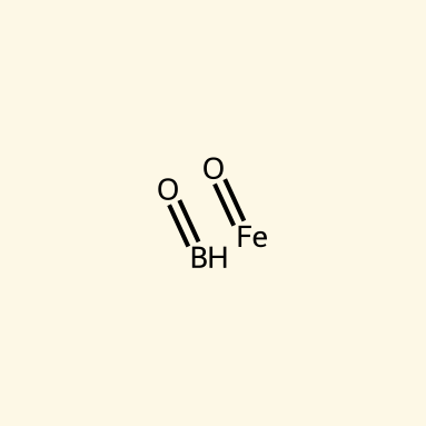 B=O.[O]=[Fe]